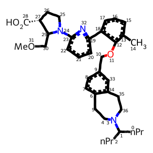 CCCC(CCC)N1CCc2ccc(COc3c(C)cccc3-c3cccc(N4CC[C@@H](C(=O)O)C4COC)n3)cc2CC1